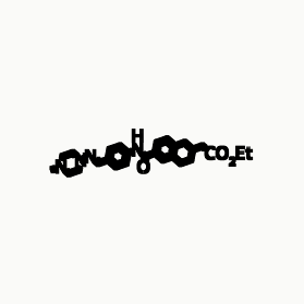 CCOC(=O)CC1CCc2cc(C(=O)Nc3ccc(/C=N/N4CCN(C)CC4)cc3)ccc2C1